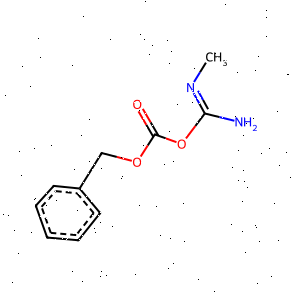 CN=C(N)OC(=O)OCc1ccccc1